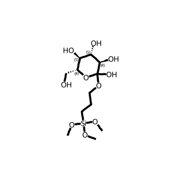 CO[Si](CCCOC1(O)O[C@H](CO)[C@@H](O)[C@H](O)[C@H]1O)(OC)OC